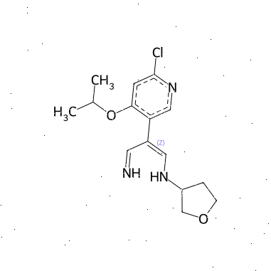 CC(C)Oc1cc(Cl)ncc1/C(C=N)=C/NC1CCOC1